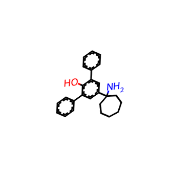 NC1(c2cc(-c3ccccc3)c(O)c(-c3ccccc3)c2)CCCCCC1